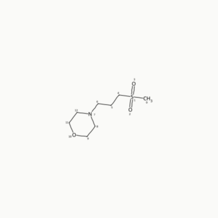 CS(=O)(=O)CCCN1CCOCC1